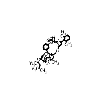 Cc1cccc(C)c1-c1cc2nc(n1)NS(=O)(=O)c1cccc(c1)C(=O)N(Cc1ncc(OC(C)CC(C)C)cn1)[C@H](CC(C)(C)C)CO2